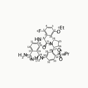 CCOc1ccc(F)c([C@@H](Nc2ccc3c(N)nccc3c2)C(=O)N2CCC[C@H]2c2cc(N)ccc2S(=O)(=O)C(C)C)c1